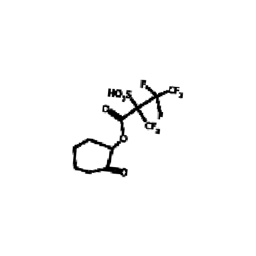 O=C1CCCCC1OC(=O)C(C(F)(F)F)(C(F)(F)C(F)(F)F)S(=O)(=O)O